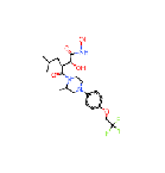 CC(C)C[C@H](C(=O)N1CCN(c2ccc(OCC(F)(F)F)cc2)C[C@H]1C)[C@H](O)C(=O)NO